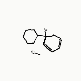 CC#N.CC(=O)C1(C2CCCCC2)C=CC=CC1